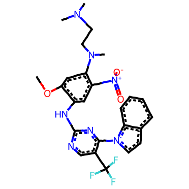 COc1cc(N(C)CCN(C)C)c([N+](=O)[O-])cc1Nc1ncc(C(F)(F)F)c(-n2ccc3ccccc32)n1